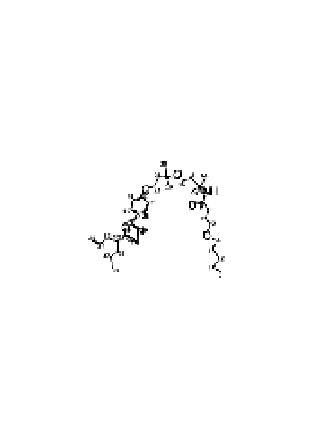 CCCCCOCCCC(=O)NC(C)(C)CCOC(C)(C)CCOc1ccc(-c2nnc(C(CCC)CCC)o2)cc1